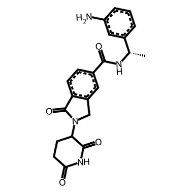 C[C@H](NC(=O)c1ccc2c(c1)CN(C1CCC(=O)NC1=O)C2=O)c1cccc(N)c1